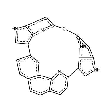 c1cc2ccc3ccc4nc3c2nc1-c1c[nH]c2cc([nH]c12)Cc1cc2[nH]cc-4c2[nH]1